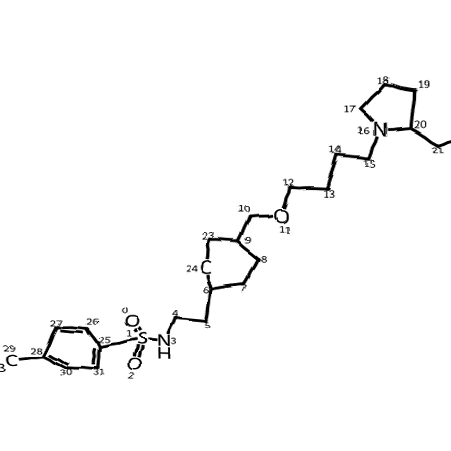 O=S(=O)(NCCC1CCC(COCCCCN2CCCC2CO)CC1)c1ccc(C(F)(F)F)cc1